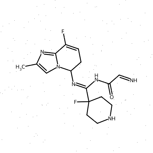 Cc1cn2c(n1)C(F)=CCC2N=C(NC(=O)C=N)C1(F)CCNCC1